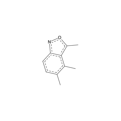 Cc1ccc2noc(C)c2c1C